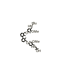 COc1nc(OCc2cccc(-c3cccc(COc4ccc(CNCC(C)(C)O)c(OC)n4)c3C)c2C)ccc1CNCC(C)(C)C